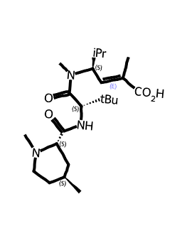 C/C(=C\[C@H](C(C)C)N(C)C(=O)[C@@H](NC(=O)[C@@H]1C[C@@H](C)CCN1C)C(C)(C)C)C(=O)O